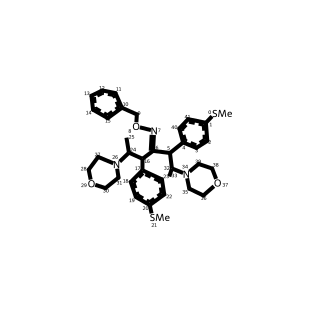 CSc1ccc(C(C(=NOCc2ccccc2)C(c2ccc(SC)cc2)C(C)N2CCOCC2)C(C)N2CCOCC2)cc1